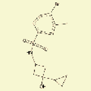 Cc1cc(S(=O)(=O)NC2CC(O)(C3CC3)C2)ccc1Br